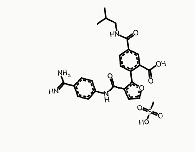 CC(C)CNC(=O)c1ccc(-c2occc2C(=O)Nc2ccc(C(=N)N)cc2)c(C(=O)O)c1.CS(=O)(=O)O